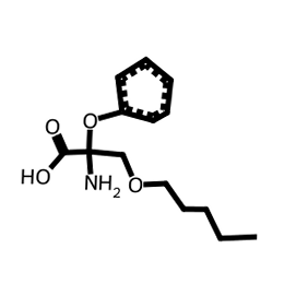 CCCCCOCC(N)(Oc1ccccc1)C(=O)O